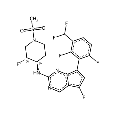 CS(=O)(=O)N1CC[C@@H](Nc2ncc3c(F)cc(-c4c(F)ccc(C(F)F)c4F)n3n2)[C@H](F)C1